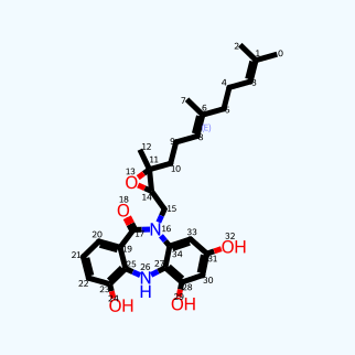 CC(C)=CCC/C(C)=C/CCC1(C)OC1CN1C(=O)c2cccc(O)c2Nc2c(O)cc(O)cc21